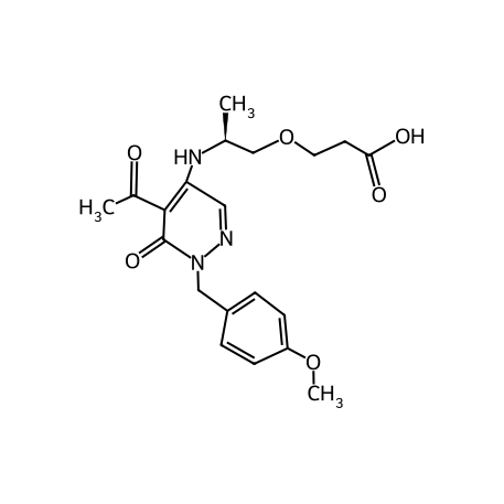 COc1ccc(Cn2ncc(N[C@@H](C)COCCC(=O)O)c(C(C)=O)c2=O)cc1